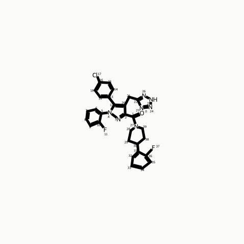 O=C(c1nn(-c2ccccc2F)c(-c2ccc(Cl)cc2)c1Cc1nn[nH]n1)N1CCC(c2ccccc2F)CC1